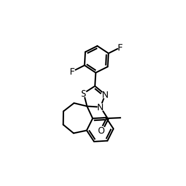 CC(=O)N1N=C(c2cc(F)ccc2F)SC12CCCCc1ccccc12